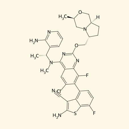 C[C@@H]1CN2[C@@H](COc3nc(N(C)[C@H](C)c4cccnc4N)c4cc(Cl)c(-c5ccc(F)c6sc(N)c(C#N)c56)c(F)c4n3)CC[C@@H]2CO1